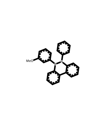 COc1cccc(B2c3ccccc3-c3ccccc3N2c2ccccc2)c1